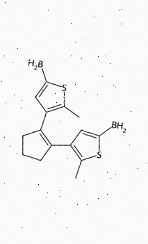 Bc1cc(C2=C(c3cc(B)sc3C)CCC2)c(C)s1